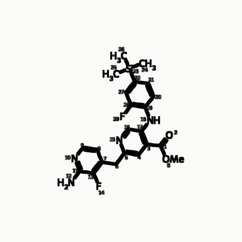 COC(=O)c1cc(Cc2ccnc(N)c2F)ncc1Nc1ccc([Si](C)(C)C)cc1F